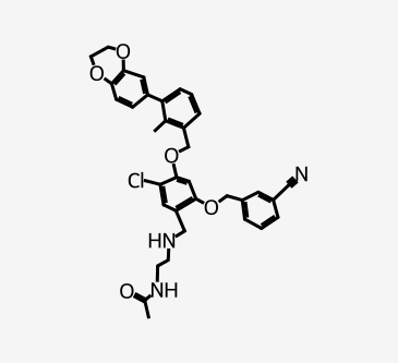 CC(=O)NCCNCc1cc(Cl)c(OCc2cccc(-c3ccc4c(c3)OCCO4)c2C)cc1OCc1cccc(C#N)c1